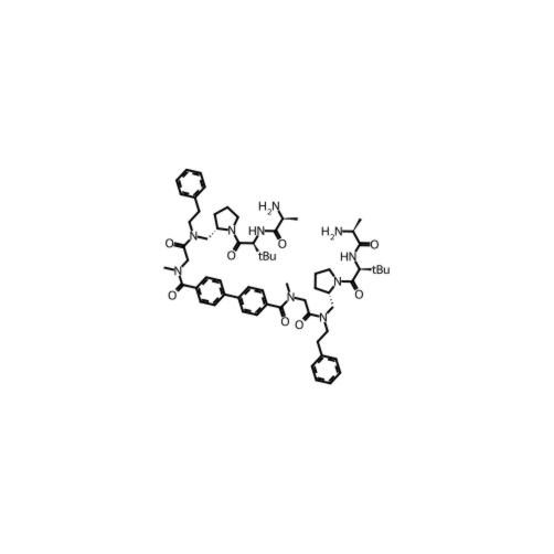 C[C@H](N)C(=O)N[C@H](C(=O)N1CCC[C@H]1CN(CCc1ccccc1)C(=O)CN(C)C(=O)c1ccc(-c2ccc(C(=O)N(C)CC(=O)N(CCc3ccccc3)C[C@@H]3CCCN3C(=O)[C@@H](NC(=O)[C@H](C)N)C(C)(C)C)cc2)cc1)C(C)(C)C